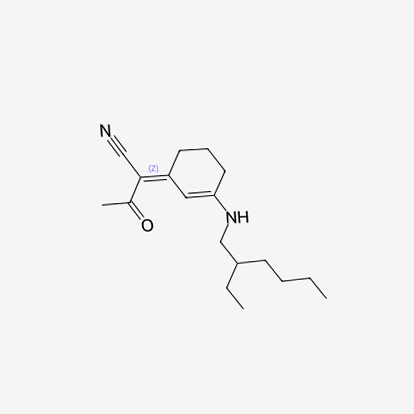 CCCCC(CC)CNC1=C/C(=C(/C#N)C(C)=O)CCC1